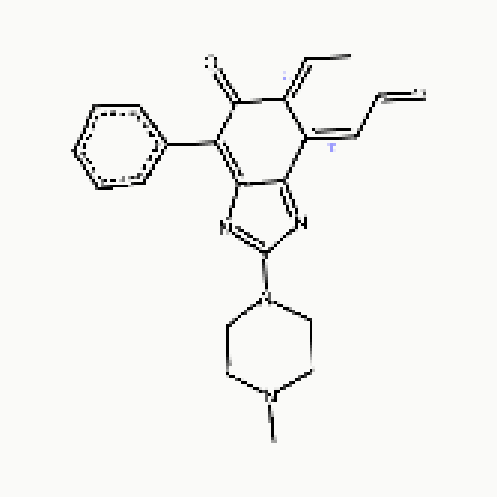 C=C/C=C1/C2=NC(N3CCN(C)CC3)=NC2=C(c2ccccc2)C(=O)/C1=C/C